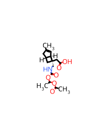 CC(=O)OC(C)OC(=O)NC[C@]1(CC(=O)O)C[C@@H]2CC(C)=C[C@H]21